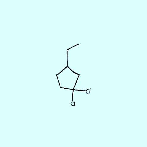 [CH2]CC1CCC(Cl)(Cl)C1